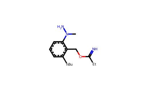 CCCCc1cccc(N(C)N)c1COC(=N)CC